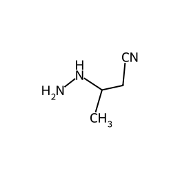 CC(CC#N)NN